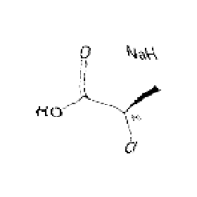 C[C@@H](Cl)C(=O)O.[NaH]